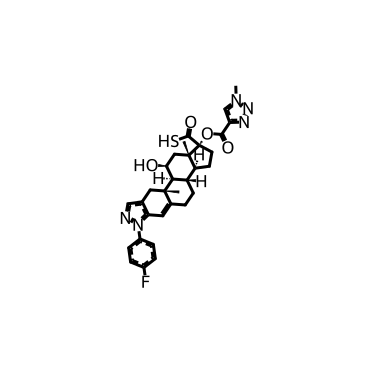 Cn1cc(C(=O)O[C@]2(C(=O)S)CC[C@H]3[C@@H]4CCC5=Cc6c(cnn6-c6ccc(F)cc6)C[C@]5(C)[C@H]4[C@@H](O)C[C@@]32C)nn1